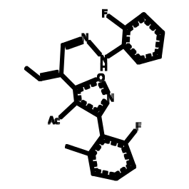 C/C=C(\C=N/Nc1ccccc1F)c1onc(-c2c(C)cccc2F)c1C(C)=O